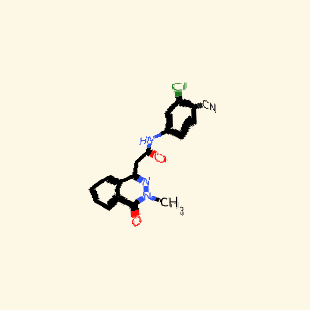 Cn1nc(CC(=O)Nc2ccc(C#N)c(Cl)c2)c2ccccc2c1=O